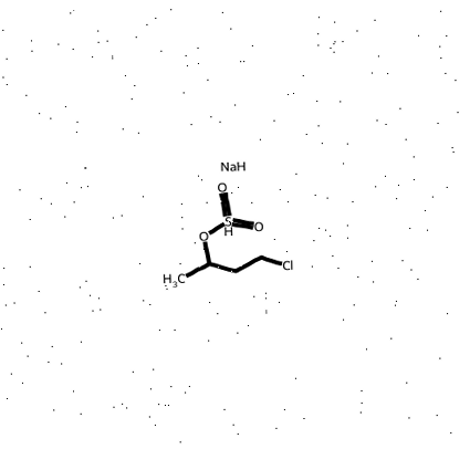 CC(CCCl)O[SH](=O)=O.[NaH]